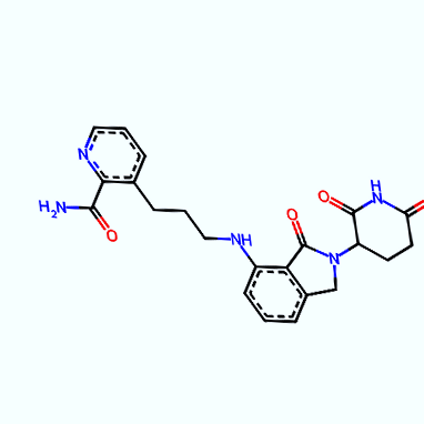 NC(=O)c1ncccc1CCCNc1cccc2c1C(=O)N(C1CCC(=O)NC1=O)C2